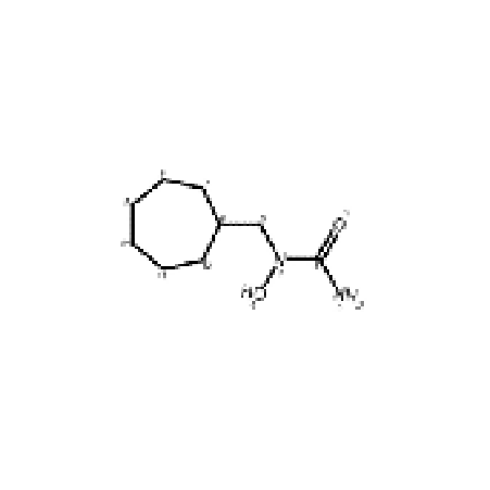 NC(=O)N(O)CC1CCCCCC1